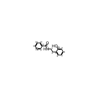 O=C(NCCc1ccccc1O)c1cccnc1